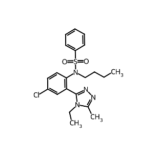 CCCCN(c1ccc(Cl)cc1-c1nnc(C)n1CC)S(=O)(=O)c1ccccc1